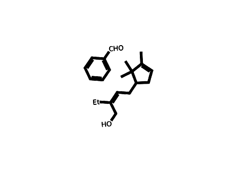 CCC(=CCC1CC=C(C)C1(C)C)CO.O=Cc1ccccc1